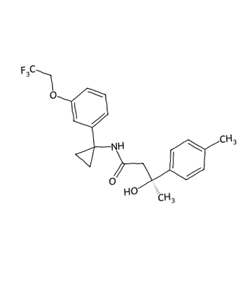 Cc1ccc([C@@](C)(O)CC(=O)NC2(c3cccc(OCC(F)(F)F)c3)CC2)cc1